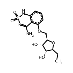 CCC1O[C@H](COc2cccc3c2C(N)=NS(=O)(=O)N3)[C@@H](O)[C@H]1O